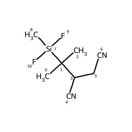 CC(C)(C(C#N)CC#N)[Si](C)(F)F